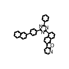 c1ccc(-c2nc(-c3ccc(-c4ccc5ccccc5c4)cc3)nc(-c3cccc4c3ccc3c5cccnc5oc43)n2)cc1